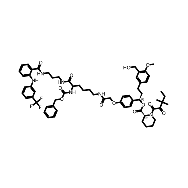 CCC(C)(C)C(=O)C(=O)N1CCCC[C@H]1C(=O)O[C@H](CCc1ccc(OC)c(CO)c1)c1ccc(OCC(=O)NCCCCC(NC(=O)OCc2ccccc2)C(=O)NCCCNC(=O)c2ccccc2Nc2cccc(C(F)(F)F)c2)cc1